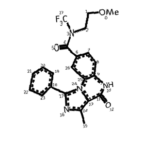 COCCN(C(=O)c1ccc2[nH]c(=O)c3c(C)nc(-c4ccccc4)n3c2c1)C(F)(F)F